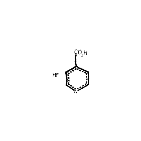 F.O=C(O)c1ccncc1